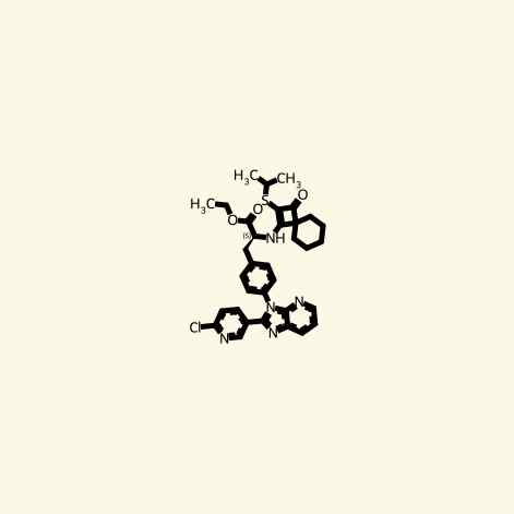 CCOC(=O)[C@H](Cc1ccc(-n2c(-c3ccc(Cl)nc3)nc3cccnc32)cc1)NC1=C(SC(C)C)C(=O)C12CCCCC2